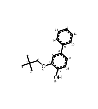 CC(C)(C)COc1cc(-c2ccccc2)ccc1O